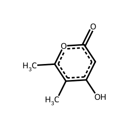 Cc1oc(=O)cc(O)c1C